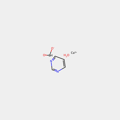 O.[Ca+2].[O-]B[O-].c1cncnc1